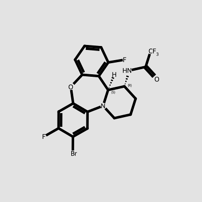 O=C(N[C@@H]1CCCN2c3cc(Br)c(F)cc3Oc3cccc(F)c3[C@@H]12)C(F)(F)F